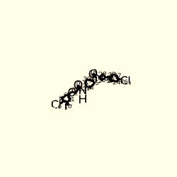 O=C(COc1ccc(Cl)c(F)c1)N[C@H]1CC[C@H](C(=O)N2CC(c3ccc(Cl)cc3)C2)CC1